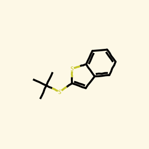 CC(C)(C)Sc1cc2ccccc2s1